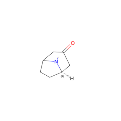 CN1C2CC[C@@H]1CC(=O)C2